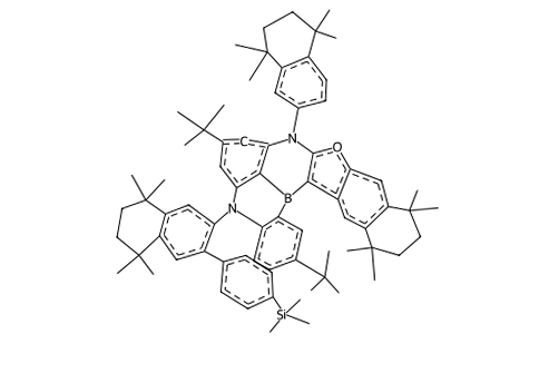 CC(C)(C)c1ccc2c(c1)B1c3c(cc(C(C)(C)C)cc3N(c3ccc4c(c3)C(C)(C)CCC4(C)C)c3oc4cc5c(cc4c31)C(C)(C)CCC5(C)C)N2c1cc2c(cc1-c1ccc([Si](C)(C)C)cc1)C(C)(C)CCC2(C)C